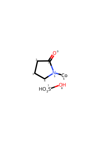 O=C1CCC[N]1[Co].O=S(=O)(O)O